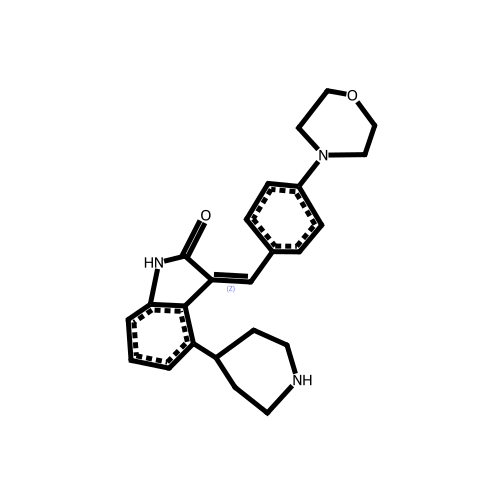 O=C1Nc2cccc(C3CCNCC3)c2/C1=C/c1ccc(N2CCOCC2)cc1